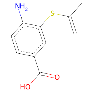 C=C(C)Sc1cc(C(=O)O)ccc1N